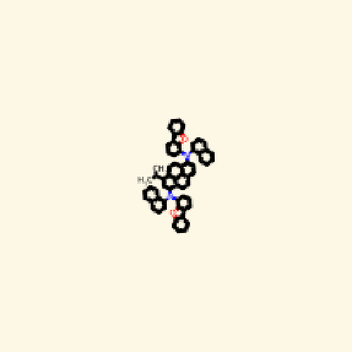 CC(C)c1cc(N(c2cccc3ccccc23)c2cccc3c2oc2ccccc23)c2ccc3ccc(N(c4cccc5ccccc45)c4cccc5c4oc4ccccc45)c4ccc1c2c34